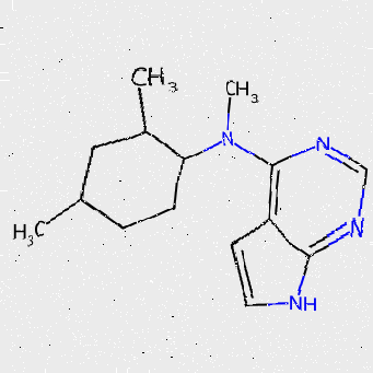 CC1CCC(N(C)c2ncnc3[nH]ccc23)C(C)C1